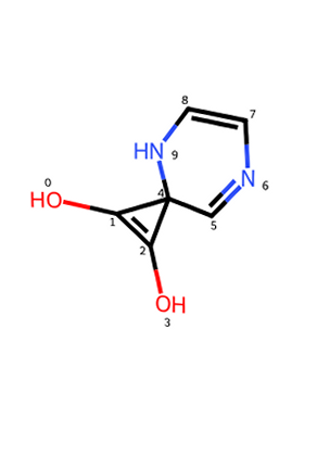 OC1=C(O)C12C=NC=CN2